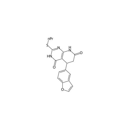 CCCSc1nc2c(c(=O)[nH]1)C(c1ccc3occc3c1)CC(=O)N2